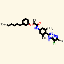 CCCCCCCCCCCCCCCc1cccc(OC(CC)C(=O)Nc2cc(C)c(-c3nn4nc(C(C)(C)C)c(Cl)c4[nH]3)c(C)c2)c1